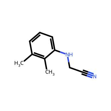 Cc1cccc(NCC#N)c1C